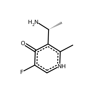 Cc1[nH]cc(F)c(=O)c1[C@@H](C)N